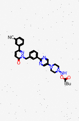 CC(C)(C)C(=O)ONN1CCN(c2cnc(-c3cccc(Cn4nc(-c5cccc(C#N)c5)ccc4=O)c3)nc2)CC1